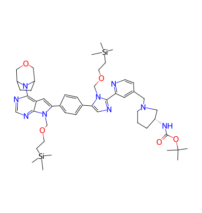 CC(C)(C)OC(=O)N[C@@H]1CCCN(Cc2ccnc(-c3ncc(-c4ccc(-c5cc6c(N7C8CCC7COC8)ncnc6n5COCC[Si](C)(C)C)cc4)n3COCC[Si](C)(C)C)c2)C1